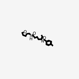 Cc1ccc(-c2nc(CCCC(=O)NCC3CCCO3)c(C)o2)cc1